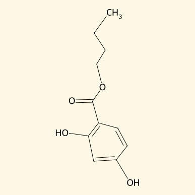 CCCCOC(=O)c1ccc(O)cc1O